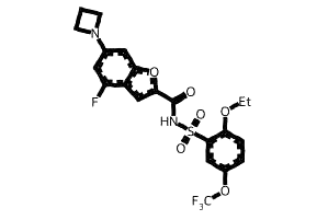 CCOc1ccc(OC(F)(F)F)cc1S(=O)(=O)NC(=O)c1cc2c(F)cc(N3CCC3)cc2o1